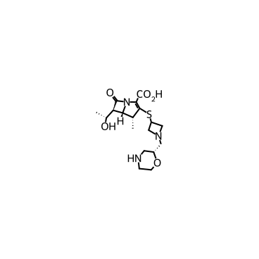 C[C@@H](O)[C@H]1C(=O)N2C(C(=O)O)=C(SC3CN(C[C@H]4CNCCO4)C3)[C@H](C)[C@H]12